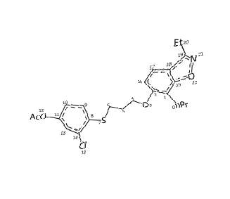 CCCc1c(OCCCSc2ccc(OC(C)=O)cc2Cl)ccc2c(CC)noc12